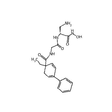 CCC1(C(=O)NCC(=O)N[C@@H](CN)C(=O)NO)C=CC(c2ccccc2)=CC1